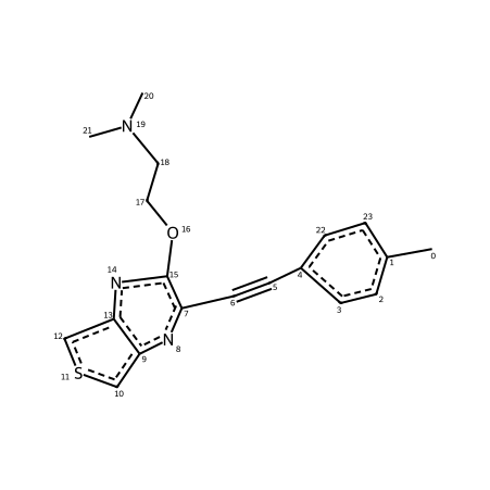 Cc1ccc(C#Cc2nc3cscc3nc2OCCN(C)C)cc1